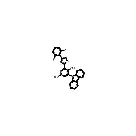 CC(C)(C)c1cc(-c2nc(-c3c(F)cccc3F)no2)c(O)c(-n2c3ccccc3c3ccccc32)c1